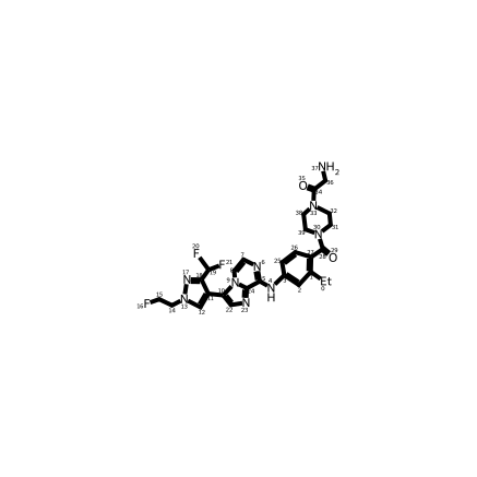 CCc1cc(Nc2nccn3c(-c4cn(CCF)nc4C(F)F)cnc23)ccc1C(=O)N1CCN(C(=O)CN)CC1